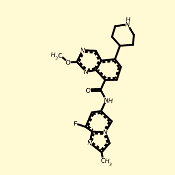 COc1ncc2c(C3CCNCC3)ccc(C(=O)Nc3cc(F)c4nc(C)cn4c3)c2n1